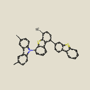 Cc1ccc2c(c1)c1cc(C)ccc1n2-c1cccc2c1sc1c(C#N)ccc(-c3ccc4c(c3)sc3ccccc34)c12